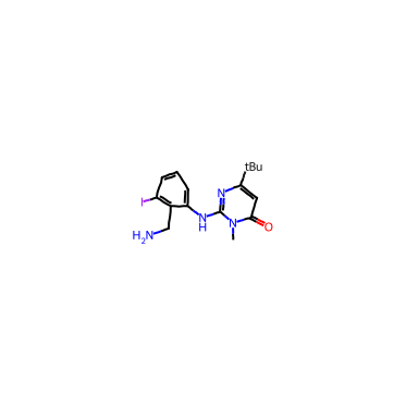 Cn1c(Nc2cccc(I)c2CN)nc(C(C)(C)C)cc1=O